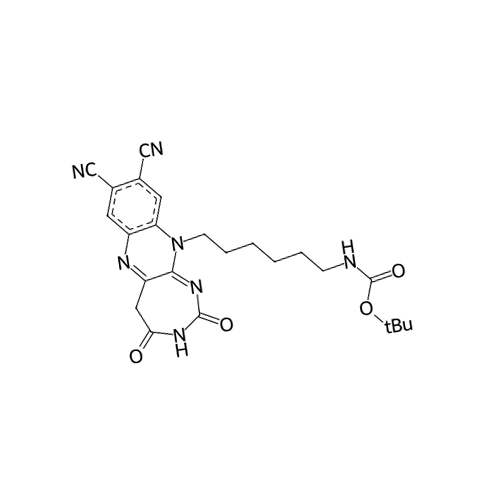 CC(C)(C)OC(=O)NCCCCCCN1C2=NC(=O)NC(=O)CC2=Nc2cc(C#N)c(C#N)cc21